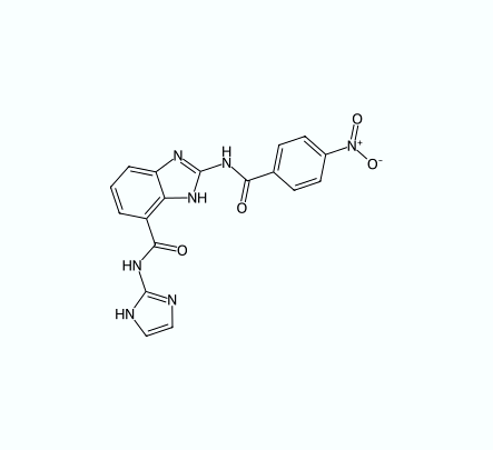 O=C(Nc1nc2cccc(C(=O)Nc3ncc[nH]3)c2[nH]1)c1ccc([N+](=O)[O-])cc1